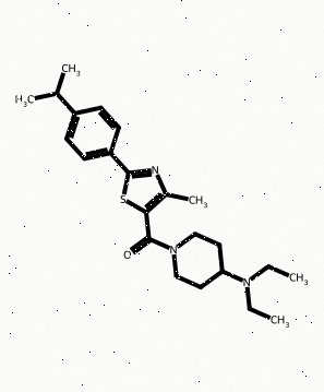 CCN(CC)C1CCN(C(=O)c2sc(-c3ccc(C(C)C)cc3)nc2C)CC1